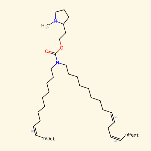 CCCCC/C=C\C/C=C\CCCCCCCCN(CCCCCCCC/C=C\CCCCCCCC)C(=O)OCCC1CCCN1C